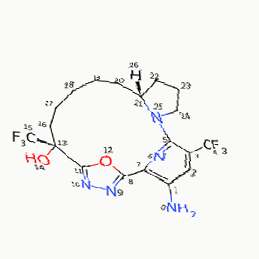 Nc1cc(C(F)(F)F)c2nc1-c1nnc(o1)[C@@](O)(C(F)(F)F)CCCCC[C@@H]1CCCN21